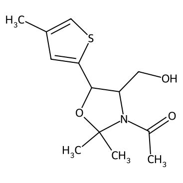 CC(=O)N1C(CO)C(c2cc(C)cs2)OC1(C)C